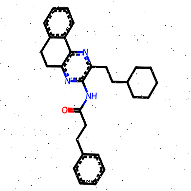 O=C(CCc1ccccc1)Nc1nc2c(nc1CCC1CCCCC1)-c1ccccc1CC2